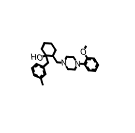 COc1ccccc1N1CCN(CC2CCCCC2(O)Cc2cccc(C)c2)CC1